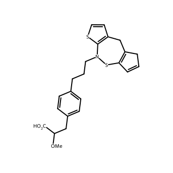 COC(Cc1ccc(CCCN2SC3=C(CC=C3)Cc3ccsc32)cc1)C(=O)O